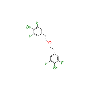 Fc1cc(CCOCCc2cc(F)c(Br)c(F)c2)cc(F)c1Br